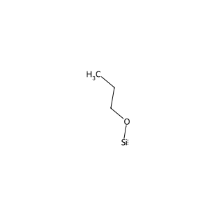 CCCO[Si]